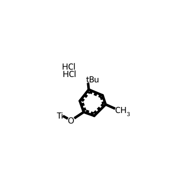 Cc1cc([O][Ti])cc(C(C)(C)C)c1.Cl.Cl